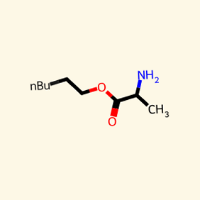 CCCCCCOC(=O)C(C)N